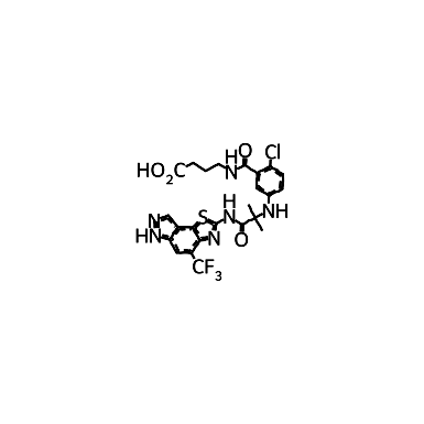 CC(C)(Nc1ccc(Cl)c(C(=O)NCCCC(=O)O)c1)C(=O)Nc1nc2c(C(F)(F)F)cc3[nH]ncc3c2s1